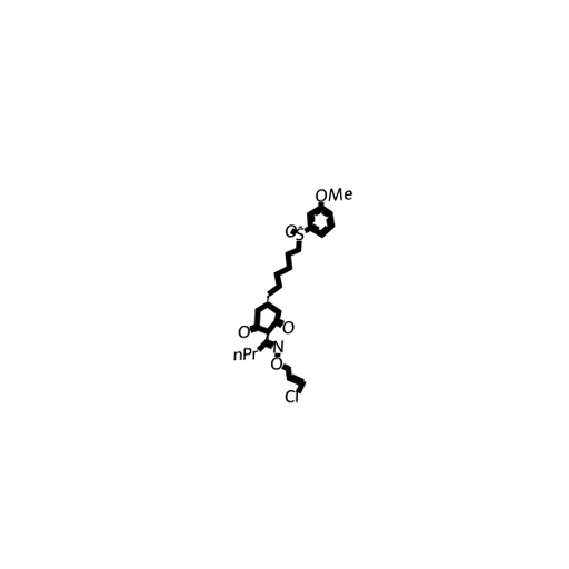 CCCC(=NOCC=CCl)[C@H]1C(=O)C[C@H](CCCCCC[S+]([O-])c2cccc(OC)c2)CC1=O